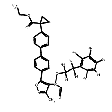 [2H]c1c([2H])c([2H])c(C([2H])([2H])C([2H])([2H])ON(C=O)c2c(C)noc2-c2ccc(-c3ccc(C4(C(=O)OCC)CC4)cc3)cc2)c([2H])c1[2H]